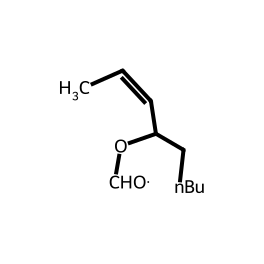 C/C=C\C(CCCCC)O[C]=O